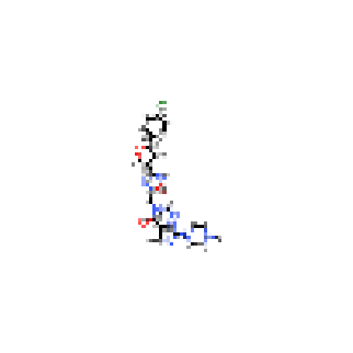 Cc1nc(N2CCN(C)CC2)n2ncn(Cc3nc(C4COC(c5ccc(Cl)cc5)C4)no3)c(=O)c12